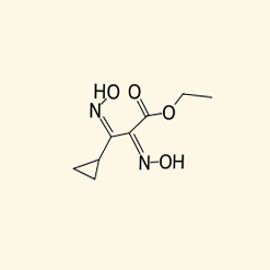 CCOC(=O)C(=NO)C(=NO)C1CC1